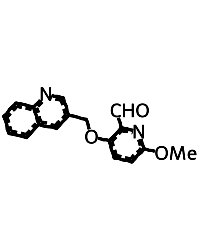 COc1ccc(OCc2cnc3ccccc3c2)c(C=O)n1